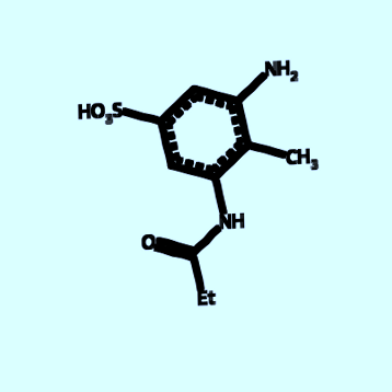 CCC(=O)Nc1cc(S(=O)(=O)O)cc(N)c1C